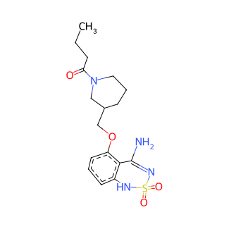 CCCC(=O)N1CCCC(COc2cccc3c2C(N)=NS(=O)(=O)N3)C1